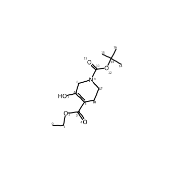 CCOC(=O)C1=C(O)CN(C(=O)OC(C)(C)C)CC1